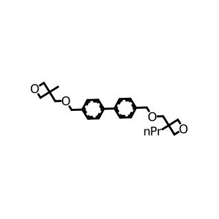 CCCC1(COCc2ccc(-c3ccc(COCC4(C)COC4)cc3)cc2)COC1